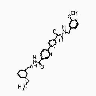 COc1cccc(CNNC(=O)c2ccc(-c3ccc(C(=O)NNCC4=CC=CC(OC)C4)cn3)nc2)c1